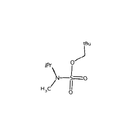 CC(C)N(C)S(=O)(=O)OCC(C)(C)C